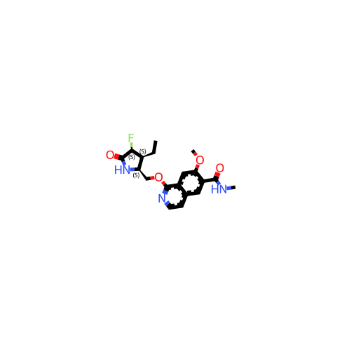 CC[C@@H]1[C@H](F)C(=O)N[C@@H]1COc1nccc2cc(C(=O)NC)c(OC)cc12